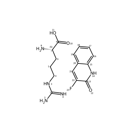 N=C(N)NCCC[C@H](N)C(=O)O.O=c1[nH]c2ccccc2cc1F